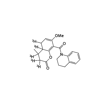 [2H]C1C=C(OC)C(C(=O)N2CCCc3ccccc32)=C2OC(=O)C([2H])([2H])C([2H])(C)C21[2H]